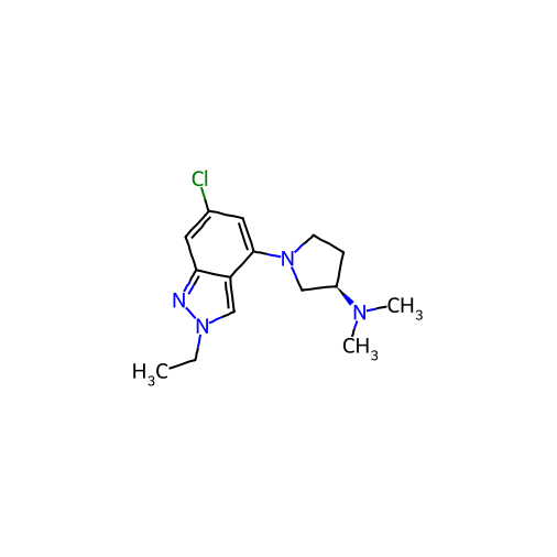 CCn1cc2c(N3CC[C@@H](N(C)C)C3)cc(Cl)cc2n1